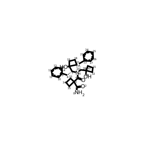 NC(=O)C1(C(=O)N([C@H](Cc2ccccc2)C2(O)CCC2)[C@H](Cc2ccccc2)C2(O)CCC2)CCC1